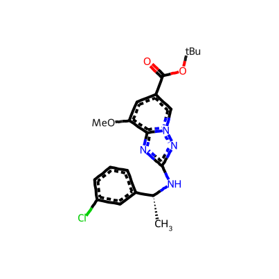 COc1cc(C(=O)OC(C)(C)C)cn2nc(N[C@H](C)c3cccc(Cl)c3)nc12